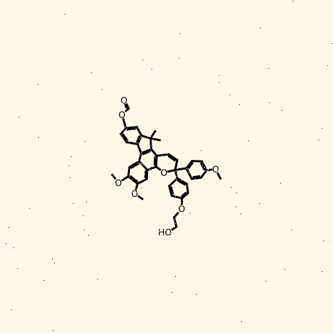 COc1ccc(C2(c3ccc(OCCO)cc3)C=Cc3c4c(c5cc(OC)c(OC)cc5c3O2)-c2ccc(OC=O)cc2C4(C)C)cc1